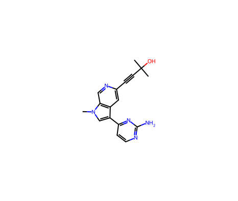 Cn1cc(-c2ccnc(N)n2)c2cc(C#CC(C)(C)O)ncc21